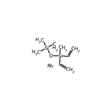 C=C[Si](C)(C=C)O[Si](C)(C)C.[Rh]